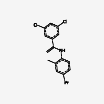 C=C(Nc1ccc(C(C)C)cc1C)c1cc(Cl)cc(Cl)c1